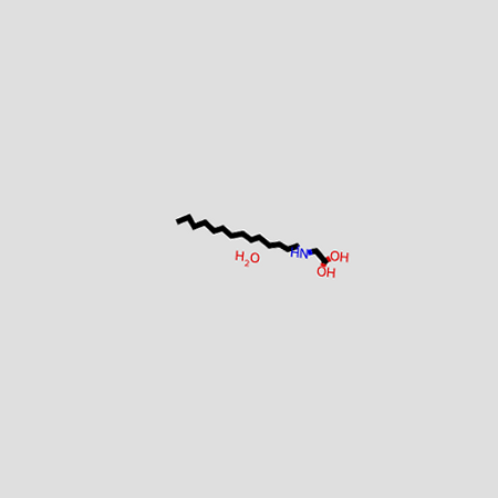 CCCCCCCCCCCCCCNCC(O)O.O